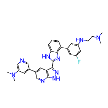 CN(C)CCNc1cc(F)cc(-c2cccc3[nH]c(-c4n[nH]c5ncc(-c6cncc(N(C)C)c6)cc45)nc23)c1